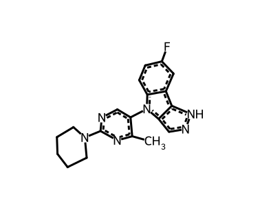 Cc1nc(N2CCCCC2)ncc1-n1c2ccc(F)cc2c2[nH]ncc21